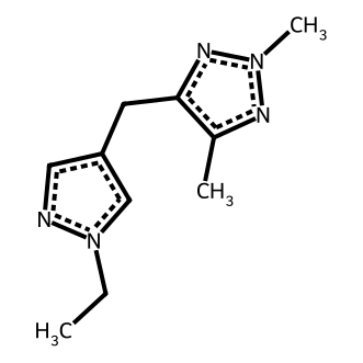 CCn1cc(Cc2nn(C)nc2C)cn1